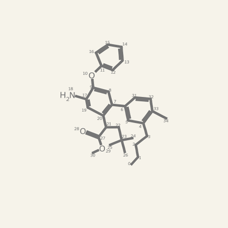 CCCCc1cc(-c2cc(Oc3ccccc3)c(N)cc2C(CC(C)(C)C)C(=O)OC)ccc1C